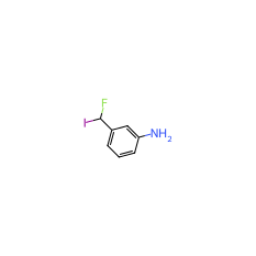 Nc1cccc(C(F)I)c1